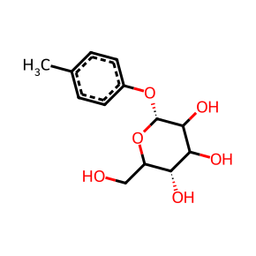 Cc1ccc(O[C@H]2OC(CO)[C@@H](O)C(O)C2O)cc1